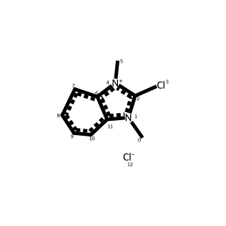 Cn1c(Cl)[n+](C)c2ccccc21.[Cl-]